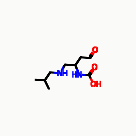 CC(C)CNCC(CC=O)NC(=O)O